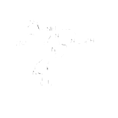 CCN1CCCN(C(=O)Nc2cncc(O)c2)c2nc(-c3ccnc(C)c3)ccc21